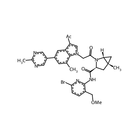 COCc1ccc(Br)nc1NC(=O)[C@@H]1C[C@@]2(C)C[C@H]2N1C(=O)Cn1cc(C(C)=O)c2cc(-c3cnc(C)nc3)cc(C)c21